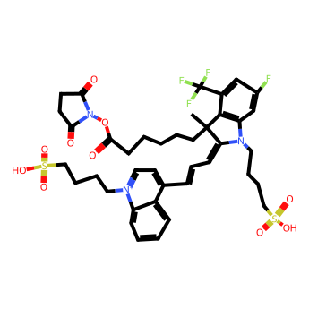 CC1(CCCCCC(=O)ON2C(=O)CCC2=O)C(=CC=Cc2cc[n+](CCCCS(=O)(=O)O)c3ccccc23)N(CCCCS(=O)(=O)O)c2cc(F)cc(C(F)(F)F)c21